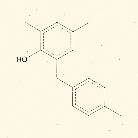 Cc1ccc(Cc2cc(C)cc(C)c2O)cc1